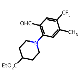 CCOC(=O)C1CCN(c2cc(C)c(C(F)(F)F)cc2C=O)CC1